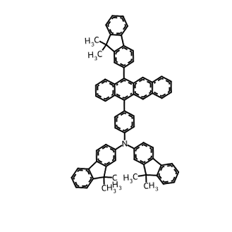 CC1(C)c2ccccc2-c2ccc(-c3c4ccccc4c(-c4ccc(N(c5ccc6c(c5)C(C)(C)c5ccccc5-6)c5ccc6c(c5)C(C)(C)c5ccccc5-6)cc4)c4cc5ccccc5cc34)cc21